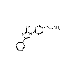 CC(C)c1nc(-c2ccccc2)cn1-c1ccc(CCN)cc1